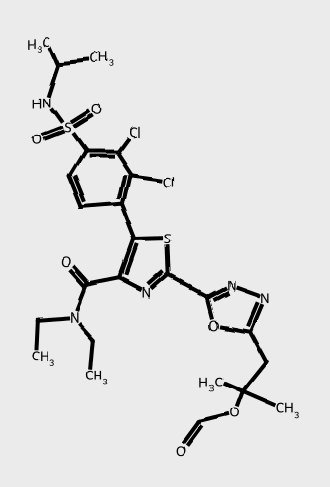 CCN(CC)C(=O)c1nc(-c2nnc(CC(C)(C)OC=O)o2)sc1-c1ccc(S(=O)(=O)NC(C)C)c(Cl)c1Cl